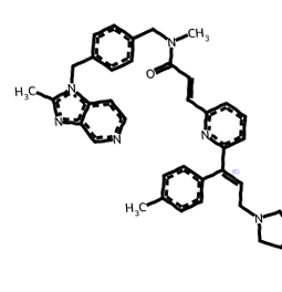 Cc1ccc(/C(=C\CN2CCCC2)c2cccc(C=CC(=O)N(C)Cc3ccc(Cn4c(C)nc5cnccc54)cc3)n2)cc1